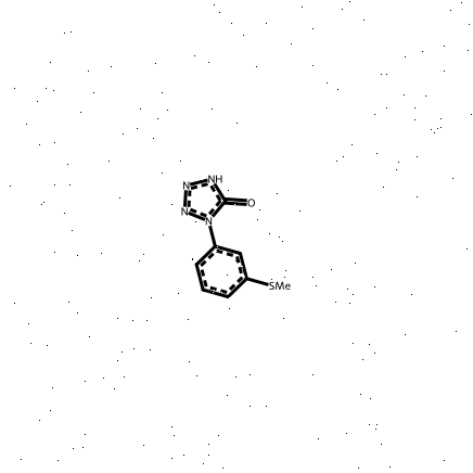 CSc1cccc(-n2nn[nH]c2=O)c1